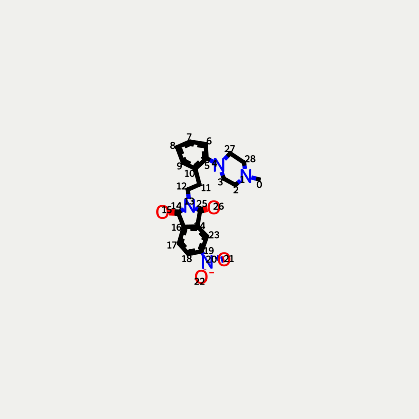 CN1CCN(c2ccccc2CCN2C(=O)c3ccc([N+](=O)[O-])cc3C2=O)CC1